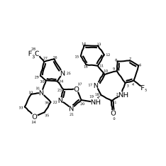 O=C1Nc2c(F)cccc2C(c2ccccc2)=N[C@H]1Nc1nnc(-c2ncc(C(F)(F)F)cc2N2CCOCC2)o1